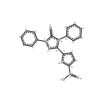 O=c1n(-c2ccccc2)nc(-c2ccc([N+](=O)[O-])s2)n1-c1ccccc1